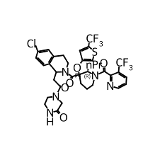 CCC[C@H]1N(C(=O)c2ncccc2C(F)(F)F)CCC[C@]1(Oc1csc(C(F)(F)F)c1)C(=O)N1CCc2cc(Cl)ccc2C1CC(=O)N1CCNC(=O)C1